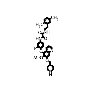 COc1c(OCC2CCNCC2)cc2ncccc2c1Oc1ccc(NC(=O)C(=O)NCCc2cc(C)ccc2C)cc1F